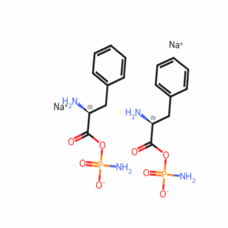 N[C@@H](Cc1ccccc1)C(=O)OP(N)(=O)[O-].N[C@@H](Cc1ccccc1)C(=O)OP(N)(=O)[O-].[Na+].[Na+]